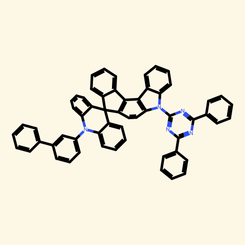 c1ccc(-c2cccc(N3c4ccccc4C4(c5ccccc5-c5c4ccc4c5c5ccccc5n4-c4nc(-c5ccccc5)nc(-c5ccccc5)n4)c4ccccc43)c2)cc1